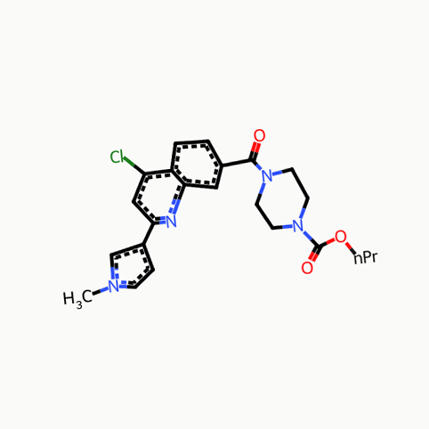 CCCOC(=O)N1CCN(C(=O)c2ccc3c(Cl)cc(-c4ccn(C)c4)nc3c2)CC1